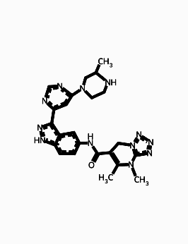 CC1=C(C(=O)Nc2ccc3[nH]nc(-c4cc(N5CCNC(C)C5)ncn4)c3c2)Cn2nnnc2N1C